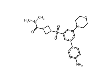 CN(C)C(=O)N1CC(S(=O)(=O)c2cc(-c3cnc(N)nc3)cc(N3CCOCC3)c2)C1